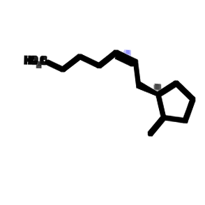 CC1CCC[C@@H]1C/C=C\CCCC(=O)O